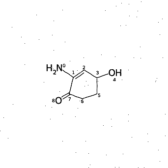 NC1=CC(O)CCC1=O